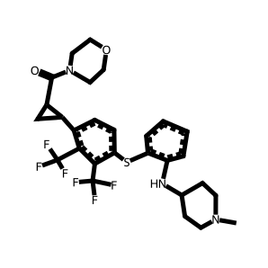 CN1CCC(Nc2ccccc2Sc2ccc(C3CC3C(=O)N3CCOCC3)c(C(F)(F)F)c2C(F)(F)F)CC1